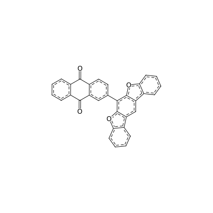 O=C1c2ccccc2C(=O)c2cc(-c3c4oc5ccccc5c4cc4c3oc3ccccc34)ccc21